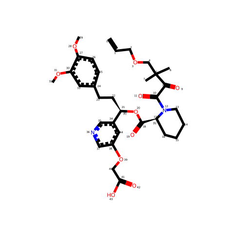 C=CCOCC(C)(C)C(=O)C(=O)N1CCCC[C@H]1C(=O)O[C@H](CCc1ccc(OC)c(OC)c1)c1cncc(OCC(=O)O)c1